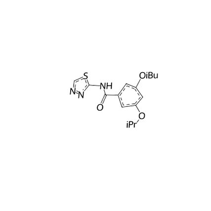 CC(C)COc1cc(OC(C)C)cc(C(=O)Nc2nncs2)c1